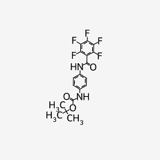 CC(C)(C)OC(=O)Nc1ccc(NC(=O)c2c(F)c(F)c(F)c(F)c2F)cc1